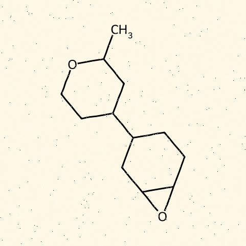 CC1CC(C2CCC3OC3C2)CCO1